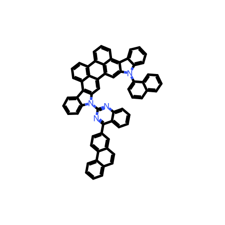 c1ccc2c(-n3c4ccccc4c4c5cccc6c7cccc8c7c(cc7c8c8ccccc8n7-c7nc(-c8ccc9c(ccc%10ccccc%109)c8)c8ccccc8n7)c(cc43)c65)cccc2c1